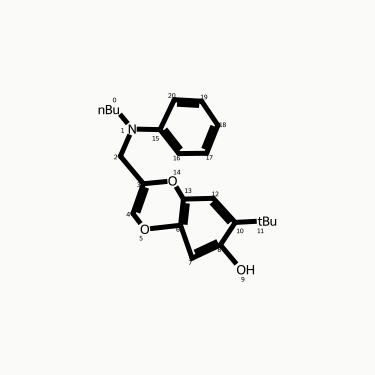 CCCCN(CC1=COc2cc(O)c(C(C)(C)C)cc2O1)c1ccccc1